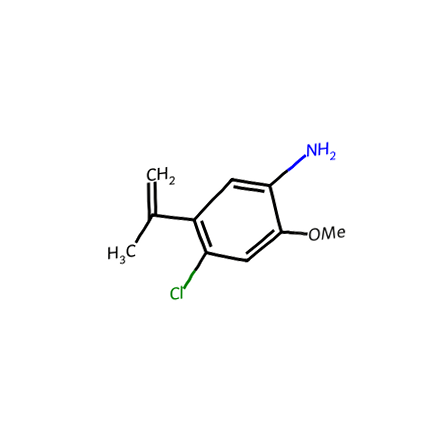 C=C(C)c1cc(N)c(OC)cc1Cl